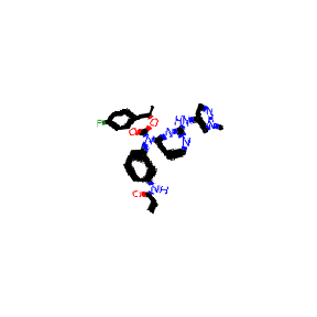 C=CC(=O)Nc1cccc(N(C(=O)O[C@H](C)c2ccc(F)cc2)c2ccnc(Nc3cnn(C)c3)n2)c1